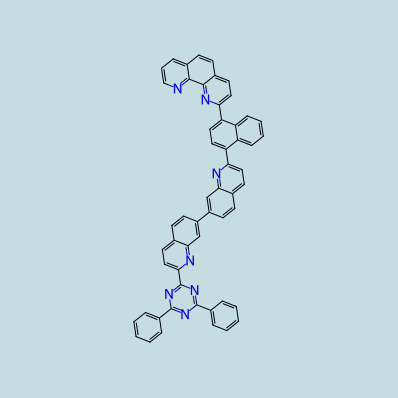 c1ccc(-c2nc(-c3ccccc3)nc(-c3ccc4ccc(-c5ccc6ccc(-c7ccc(-c8ccc9ccc%10cccnc%10c9n8)c8ccccc78)nc6c5)cc4n3)n2)cc1